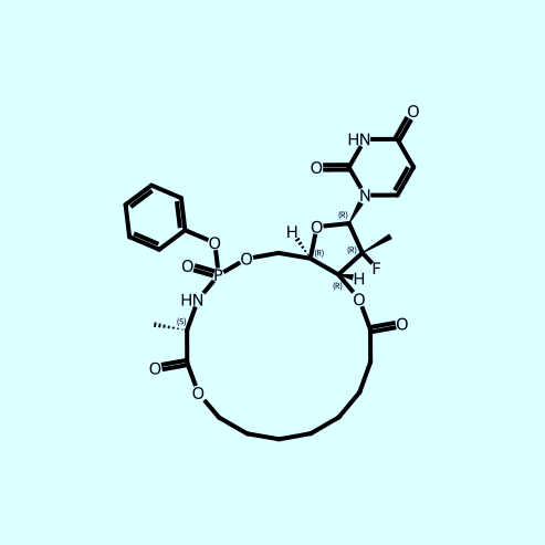 C[C@@H]1NP(=O)(Oc2ccccc2)OC[C@H]2O[C@@H](n3ccc(=O)[nH]c3=O)[C@](C)(F)[C@@H]2OC(=O)CCCCCCCOC1=O